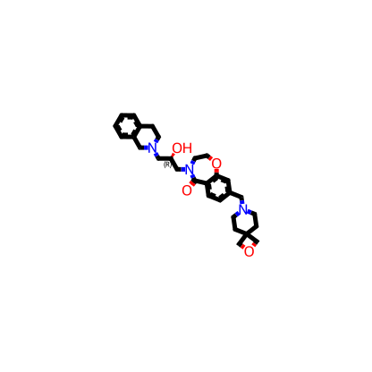 O=C1c2ccc(CN3CCC4(CC3)COC4)cc2OCCN1C[C@H](O)CN1CCc2ccccc2C1